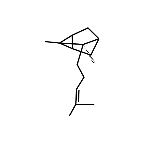 CC(C)=CCC[C@]1(C)C2CC3C(C2)C31C